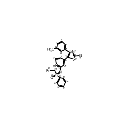 CCc1nc(-c2cccc(C)c2)c(-c2ccnc(N=S(=O)(CC(C)C)c3ccccc3)c2)s1